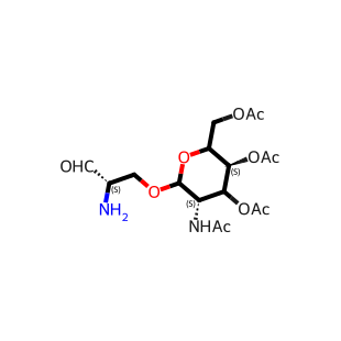 CC(=O)N[C@@H]1C(OC[C@H](N)C=O)OC(COC(C)=O)[C@@H](OC(C)=O)C1OC(C)=O